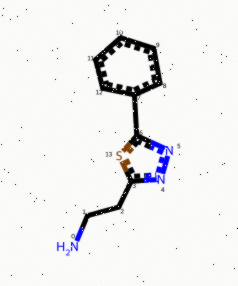 NCCc1nnc(-c2ccccc2)s1